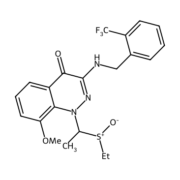 CC[S+]([O-])C(C)n1nc(NCc2ccccc2C(F)(F)F)c(=O)c2cccc(OC)c21